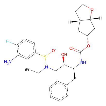 CC(C)CN(C[C@@H](O)[C@H](Cc1ccccc1)NC(=O)O[C@@H]1C[C@@H]2CCO[C@@H]2C1)[S+]([O-])c1ccc(F)c(N)c1